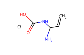 C=CC(N)NC(=O)O.[C]